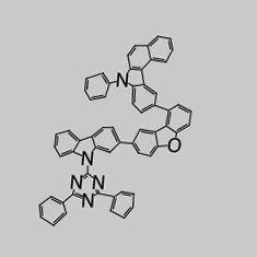 c1ccc(-c2nc(-c3ccccc3)nc(-n3c4ccccc4c4ccc(-c5ccc6oc7cccc(-c8ccc9c(c8)c8c%10ccccc%10ccc8n9-c8ccccc8)c7c6c5)cc43)n2)cc1